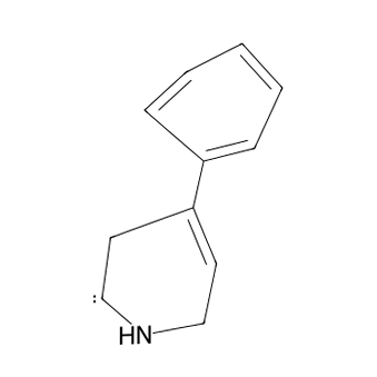 [C]1CC(c2ccccc2)=CCN1